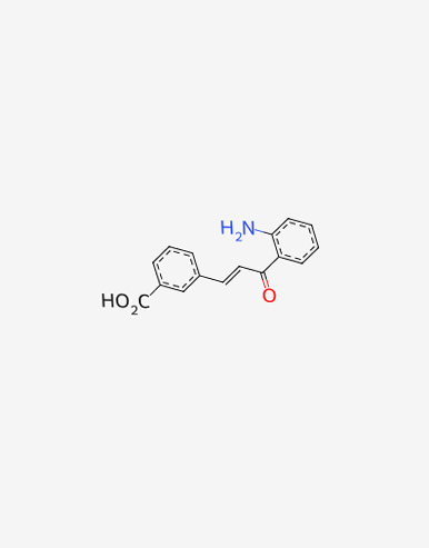 Nc1ccccc1C(=O)/C=C/c1cccc(C(=O)O)c1